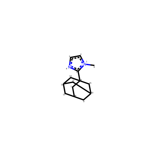 Cn1ccnc1C12CC3CC(CC(C3)C1)C2